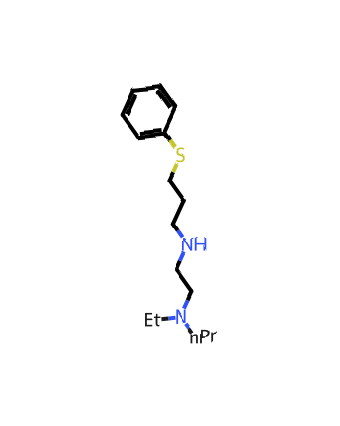 CCCN(CC)CCNCCCSc1ccccc1